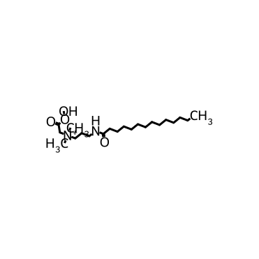 CCCCCCCCCCCCCC(=O)NCCC[N+](C)(C)CC(=O)OO